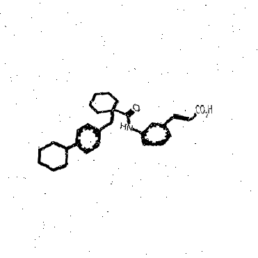 O=C(O)/C=C/c1cccc(NC(=O)C2(Cc3ccc(C4CCCCC4)cc3)CCCCC2)c1